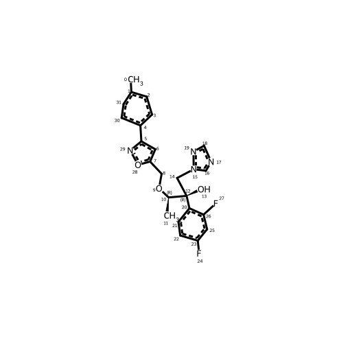 Cc1ccc(-c2cc(CO[C@H](C)[C@](O)(Cn3cncn3)c3ccc(F)cc3F)on2)cc1